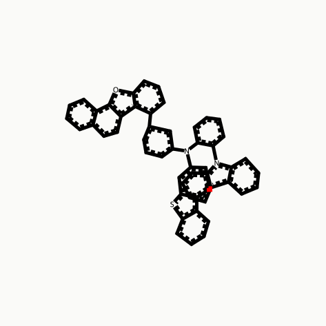 c1cc(-c2cccc3oc4c5ccccc5ccc4c23)cc(N(c2ccc3c(c2)sc2ccccc23)c2ccccc2-n2c3ccccc3c3ccccc32)c1